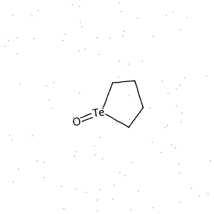 O=[Te]1CCCC1